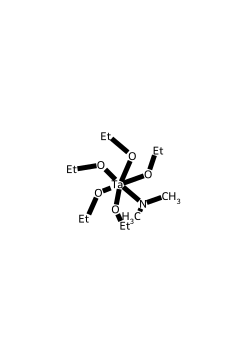 CC[O][Ta]([O]CC)([O]CC)([O]CC)([O]CC)[N](C)C